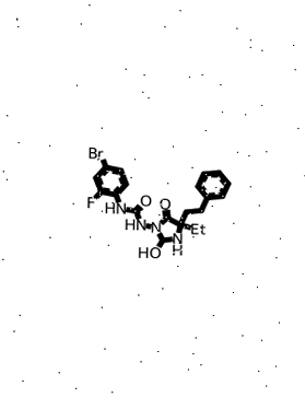 CCC1(CCc2ccccc2)NC(O)N(NC(=O)Nc2ccc(Br)cc2F)C1=O